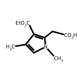 CCOC(=O)c1c(C)cn(C)c1CC(=O)O